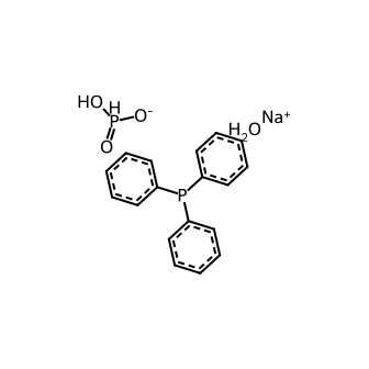 O.O=[PH]([O-])O.[Na+].c1ccc(P(c2ccccc2)c2ccccc2)cc1